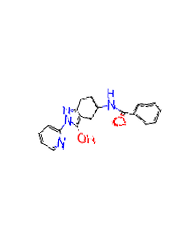 O=C(NC1CCc2nn(-c3ccccn3)c(O)c2C1)c1ccccc1